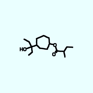 CCC(C)C(=O)OC1CCCC(C(O)(CC)CC)CC1